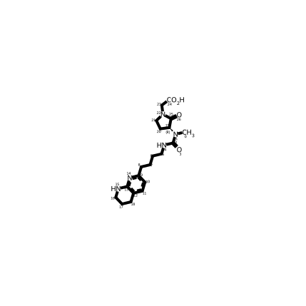 CN(C(=O)NCCCCc1ccc2c(n1)NCCC2)[C@@H]1CCN(CC(=O)O)C1=O